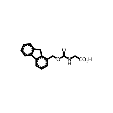 O=C(O)CNC(=O)OCc1cccc2c1Cc1ccccc1-2